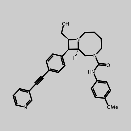 COc1ccc(NC(=O)N2CCCCN3[C@H](CO)[C@H](c4ccc(C#Cc5cccnc5)cc4)[C@@H]3C2)cc1